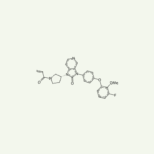 C=CC(=O)N1CC[C@@H](n2c(=O)n(-c3ccc(Oc4cccc(F)c4OC)cc3)c3cnccc32)C1